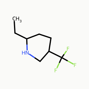 CCC1CCC(C(F)(F)F)CN1